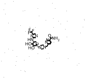 NC(=O)c1ccc(CN2CCN(C[C@H]3OC[C@H](Nc4cncc(C(F)(F)F)n4)[C@@H](O)[C@H]3O)CC2)nn1